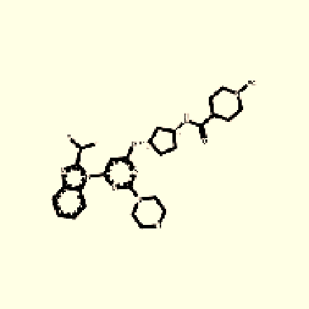 CC(=O)N1CCC(C(=O)N[C@H]2CC[C@H](Oc3cc(-n4c(C(F)F)nc5ccccc54)nc(N4CCOCC4)n3)C2)CC1